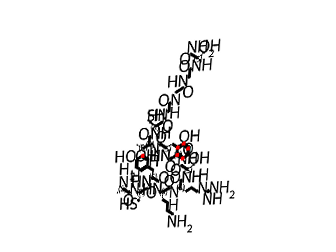 C[C@H](N)C(=O)N[C@@H](CS)C(=O)N[C@@H](Cc1ccc(O)cc1)C(=O)N[C@@H](CCCCN)C(=O)N[C@@H](CCCNC(=N)N)C(=O)N[C@@H](CO)C(=O)N[C@@H](CC(=O)O)C(=O)N[C@@H](Cc1ccccc1)C(=O)N[C@H](C(=O)N[C@@H](CS)C(=O)NCC(=O)NCC(=O)NCC(=O)N[C@@H](CO)C(N)=O)[C@@H](C)O